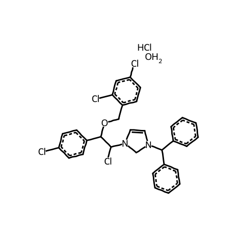 Cl.Clc1ccc(C(OCc2ccc(Cl)cc2Cl)C(Cl)N2C=CN(C(c3ccccc3)c3ccccc3)C2)cc1.O